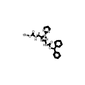 C[C@H](NC(=O)OC(C)(C)C)c1nc(NC(=O)OC(c2ccccc2)c2ccccc2)nn1-c1ncccn1